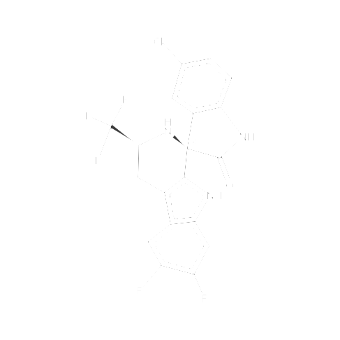 O=C1Nc2ccc(Cl)cc2[C@]12N[C@H](C(F)(F)F)Cc1c2[nH]c2cc(F)c(F)cc12